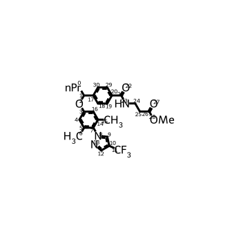 CCCC(Oc1cc(C)c(-n2cc(C(F)(F)F)cn2)c(C)c1)c1ccc(C(=O)NCCC(=O)OC)cc1